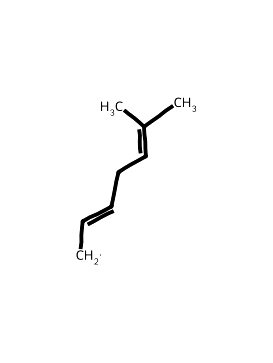 [CH2]C=CCC=C(C)C